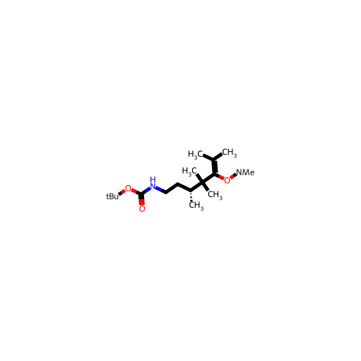 CNOC(=C(C)C)C(C)(C)[C@H](C)CCNC(=O)OC(C)(C)C